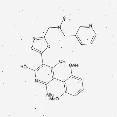 CCCCc1nc(O)c(-c2nnc(CN(C)Cc3cccnc3)o2)c(O)c1-c1c(OC)cccc1OC